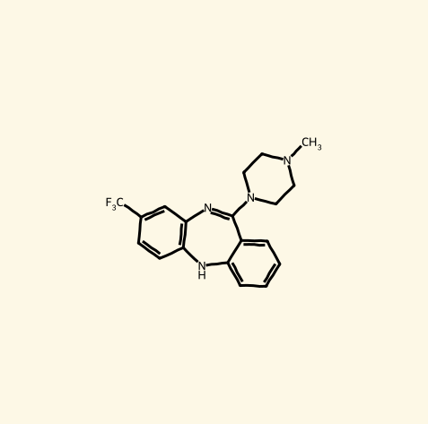 CN1CCN(C2=Nc3cc(C(F)(F)F)ccc3Nc3ccccc32)CC1